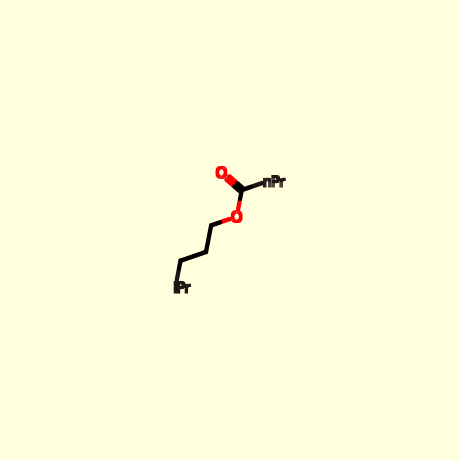 [CH2]CCC(=O)OCCCC(C)C